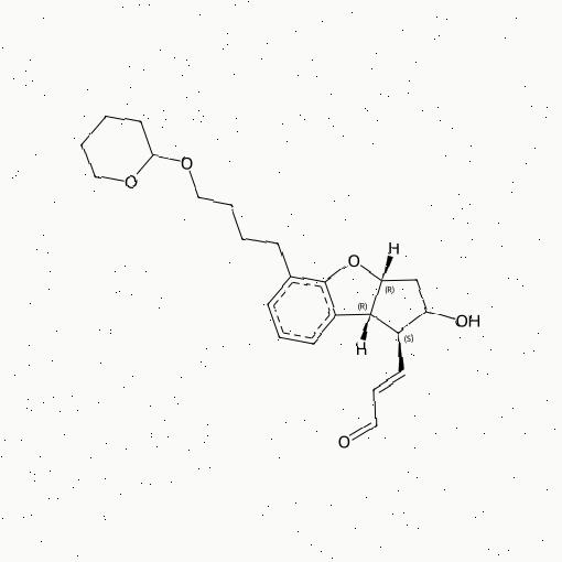 O=CC=C[C@@H]1C(O)C[C@H]2Oc3c(CCCCOC4CCCCO4)cccc3[C@@H]12